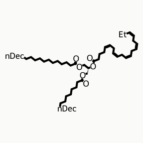 CC/C=C\C/C=C\C/C=C\C/C=C\C/C=C\CCCC(=O)O[C@H](COC(=O)CCCCCCCCCCCCCCCCC)COC(=O)CCCCCCCCCCCCCCCCCCCCC